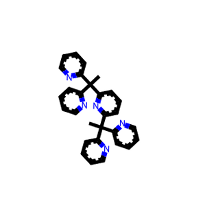 CC(c1ccccn1)(c1ccccn1)c1cccc(C(C)(c2ccccn2)c2ccccn2)n1